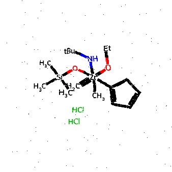 Cl.Cl.[CH2]=[Zr]([CH3])([NH]C(C)(C)C)([O]CC)([O][Si](C)(C)C)[C]1=CC=CC1